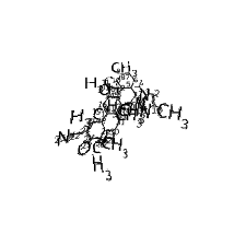 Cc1cn(C[C@]23CC[C@@H](C)[C@H](C)[C@H]2[C@H]2C(=O)C=C4[C@@]5(C)C=C(C#N)C(=O)C(C)(C)[C@@H]5CC[C@@]4(C)[C@]2(C)CC3)nn1